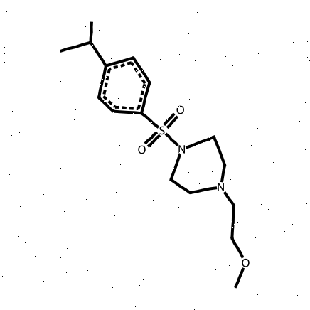 COCCN1CCN(S(=O)(=O)c2ccc(C(C)C)cc2)CC1